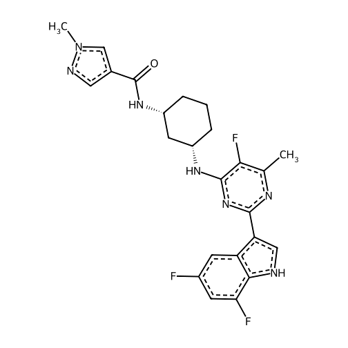 Cc1nc(-c2c[nH]c3c(F)cc(F)cc23)nc(N[C@H]2CCC[C@@H](NC(=O)c3cnn(C)c3)C2)c1F